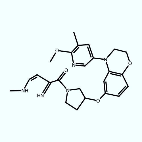 CN/C=C\C(=N)C(=O)N1CCC(Oc2ccc3c(c2)N(c2cnc(OC)c(C)c2)CCO3)C1